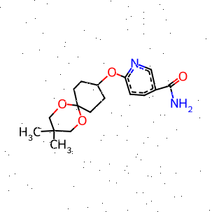 CC1(C)COC2(CCC(Oc3ccc(C(N)=O)cn3)CC2)OC1